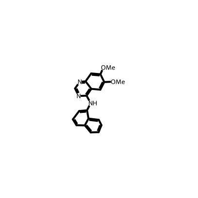 COc1cc2ncnc(Nc3cccc4ccccc34)c2cc1OC